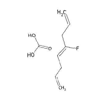 C=CCC=C(F)CC=C.O=C(O)O